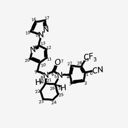 N#Cc1ccc(N2C(=O)N(Cc3ccc(-n4cccn4)nc3)[C@@H]3CCCC[C@H]32)cc1C(F)(F)F